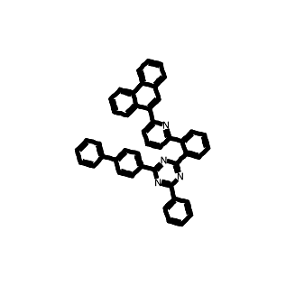 c1ccc(-c2ccc(-c3nc(-c4ccccc4)nc(-c4ccccc4-c4cccc(-c5cc6ccccc6c6ccccc56)n4)n3)cc2)cc1